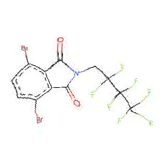 O=C1c2c(Br)ccc(Br)c2C(=O)N1CC(F)(F)C(F)(F)C(F)(F)F